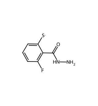 NNC(=O)c1c(F)cccc1[S]